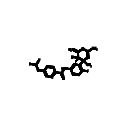 C=C1OC(N)=N[C@](C)(c2cc(NC(=O)c3ccc(OC(F)F)cn3)ccc2F)C1(F)F